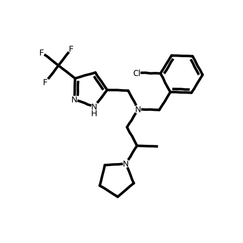 CC(CN(Cc1cc(C(F)(F)F)n[nH]1)Cc1ccccc1Cl)N1CCCC1